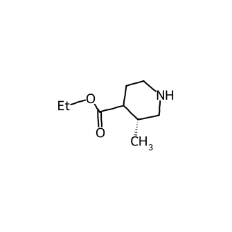 CCOC(=O)C1CCNC[C@@H]1C